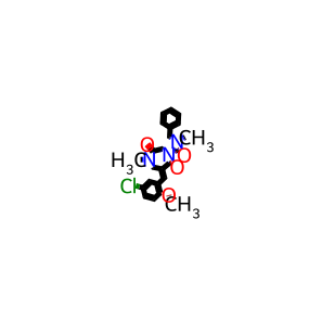 COc1ccc(Cl)cc1C=C1CN(C)C(=O)CN(C(=O)N(C)Cc2ccccc2)C1=O